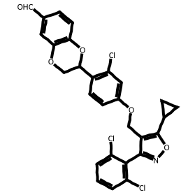 O=Cc1ccc2c(c1)OCC(c1ccc(OCc3c(-c4c(Cl)cccc4Cl)noc3C3CC3)cc1Cl)O2